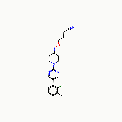 [CH2]c1cccc(-c2cnc(N3CCC(=NOCCCC#N)CC3)nc2)c1F